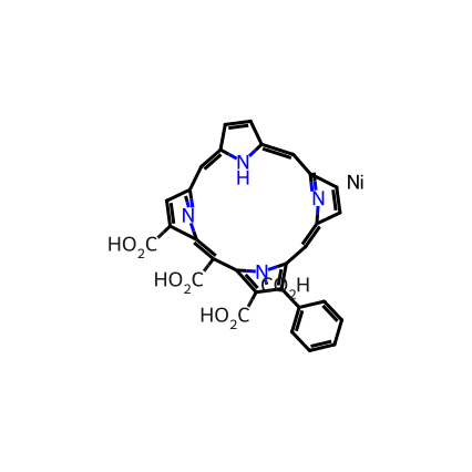 O=C(O)C1=Cc2cc3ccc(cc4nc(cc5c(-c6ccccc6)c(C(=O)O)c(c(C(=O)O)c1n2)n5C(=O)O)C=C4)[nH]3.[Ni]